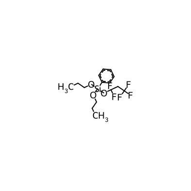 CCCO[Si](OCCC)(OC(F)(F)CC(F)(F)F)c1ccccc1